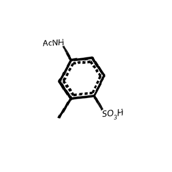 CC(=O)Nc1ccc(S(=O)(=O)O)c(C)c1